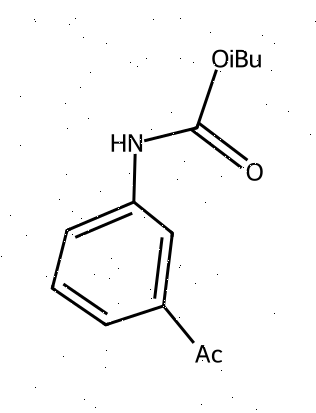 CC(=O)c1cccc(NC(=O)OCC(C)C)c1